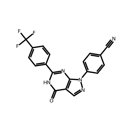 N#Cc1ccc(-n2ncc3c(=O)[nH]c(-c4ccc(C(F)(F)F)cc4)nc32)cc1